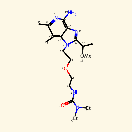 CCN(CC)C(=O)NCCOCCn1c(C(C)OC)nc2c(N)nc(C)c(C)c21